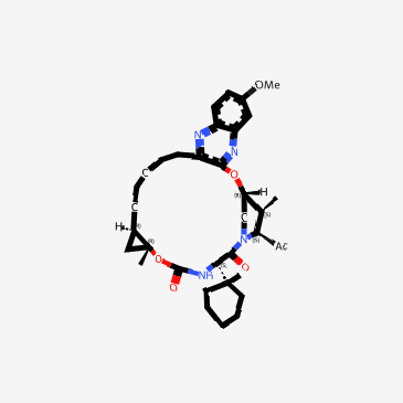 COc1ccc2nc3c(nc2c1)O[C@H]1CN(C(=O)[C@H](C2(C)CCCCC2)NC(=O)O[C@]2(C)C[C@H]2CCCCC3)[C@H](C(C)=O)[C@@H]1C